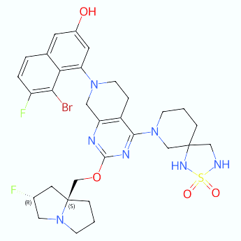 O=S1(=O)NCC2(CCCN(c3nc(OC[C@@]45CCCN4C[C@H](F)C5)nc4c3CCN(c3cc(O)cc5ccc(F)c(Br)c35)C4)C2)N1